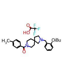 Cc1ccc(C(=O)N2CCC3(CCN(Cc4ccccc4OCC(C)C)C3)CC2)cc1.O=C(O)C(F)(F)F